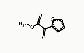 COC(=O)C(=O)c1cccs1